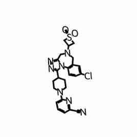 N#Cc1cccc(N2CCC(c3nnc4n3-c3ccc(Cl)cc3CN(C3CS(=O)(=O)C3)C4)CC2)n1